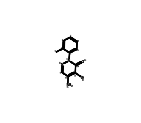 Cc1ccccc1-n1ncc(N)c(Br)c1=O